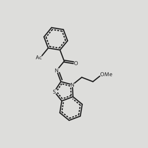 COCCn1c(=NC(=O)c2ccccc2C(C)=O)sc2ccccc21